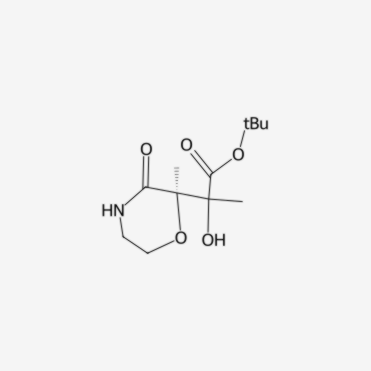 CC(C)(C)OC(=O)C(C)(O)[C@@]1(C)OCCNC1=O